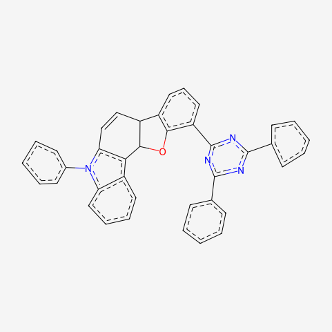 C1=CC2c3cccc(-c4nc(-c5ccccc5)nc(-c5ccccc5)n4)c3OC2c2c1n(-c1ccccc1)c1ccccc21